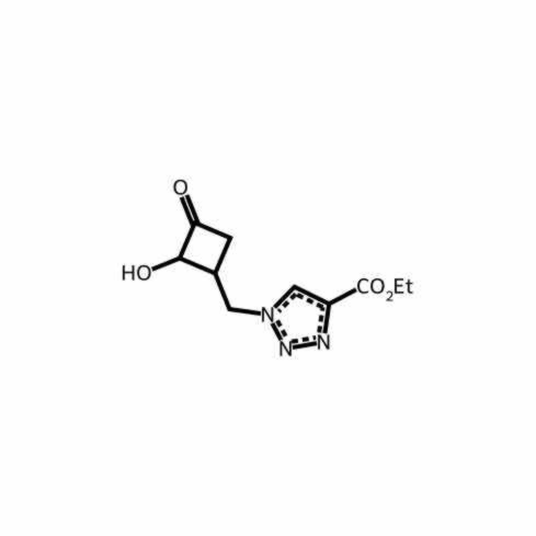 CCOC(=O)c1cn(CC2CC(=O)C2O)nn1